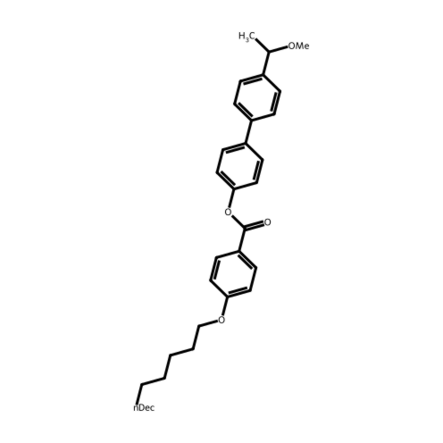 CCCCCCCCCCCCCCCOc1ccc(C(=O)Oc2ccc(-c3ccc(C(C)OC)cc3)cc2)cc1